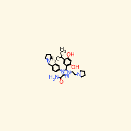 CC(C)c1cc(C2N(CCN3CCCC3)N=C(C(N)=O)N2c2ccc(CN3CCCC3)cc2)c(O)cc1O